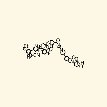 CCOc1cc(-c2ccc(N3CCC(CN4CCC(C(=O)N5CC(N6CCC(c7ccc8c(c7)C(=O)N(C7CCC(=O)NC7=O)C8)CC6)C5)CC4)(NC(=O)c4cc(F)ccc4F)CC3)nc2)c2c(C#N)cnn2c1